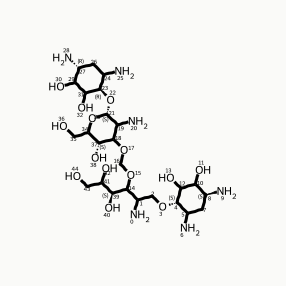 NC(CO[C@H]1C(N)C[C@H](N)C(O)C1O)C(OCOC1C(N)[C@@H](O[C@@H]2C(N)C[C@@H](N)C(O)C2O)OC(CO)[C@H]1O)[C@@H](O)C(O)CO